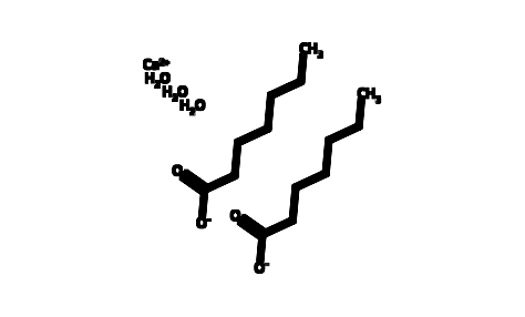 CCCCCCC(=O)[O-].CCCCCCC(=O)[O-].O.O.O.[Ca+2]